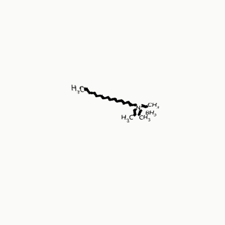 B.CCCCCCCCCCCCCCCC[N+](CCC)(CCC)CCC